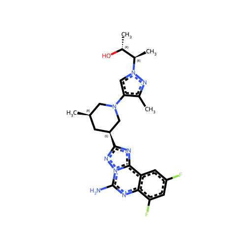 Cc1nn([C@H](C)[C@@H](C)O)cc1N1C[C@H](C)C[C@H](c2nc3c4cc(F)cc(F)c4nc(N)n3n2)C1